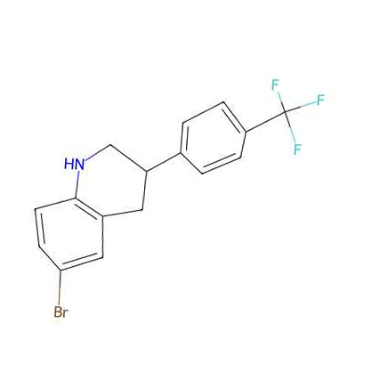 FC(F)(F)c1ccc(C2CNc3ccc(Br)cc3C2)cc1